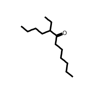 CCCCCCC(=O)C(CC)CCCC